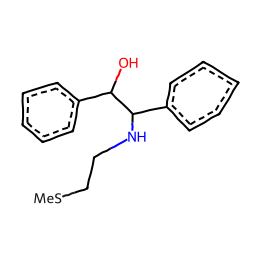 CSCCNC(c1ccccc1)C(O)c1ccccc1